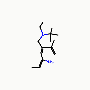 C=C(C)/C(=C\C(N)=C/C)CN(CC)C(C)(C)C